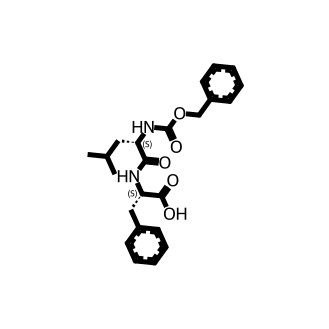 CC(C)C[C@H](NC(=O)OCc1ccccc1)C(=O)N[C@@H](Cc1ccccc1)C(=O)O